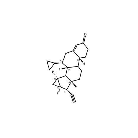 C#C[C@H]1[C@H]2C[C@H]2C2[C@H]3C(CC[C@@]21C)[C@H]1CCC(=O)C=C1C[C@@H]3C1CC1